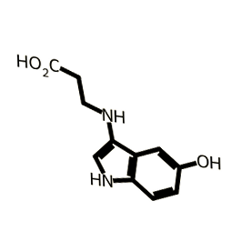 O=C(O)CCNc1c[nH]c2ccc(O)cc12